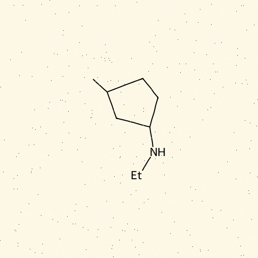 CCNC1CCC(C)C1